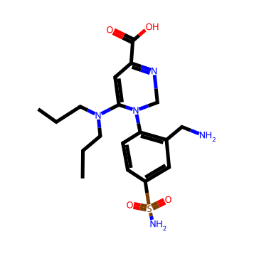 CCCN(CCC)C1=CC(C(=O)O)=NCN1c1ccc(S(N)(=O)=O)cc1CN